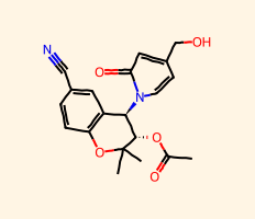 CC(=O)O[C@H]1[C@H](n2ccc(CO)cc2=O)c2cc(C#N)ccc2OC1(C)C